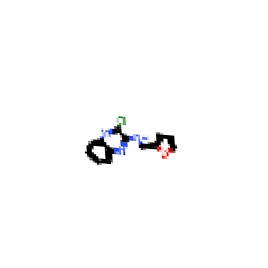 Clc1nc2ccccc2nc1NCc1ccco1